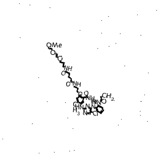 C=CC(=O)Nc1ccccc1Nc1nc(Nc2cc(C(N)=O)c(OCCCNC(=O)CCCC(=O)NCCCOCCOCCOC)cc2C)ncc1Cl